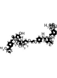 Cc1ncsc1-c1ccc(CNC(=O)[C@@H]2C[C@H](O)CN2C(=O)[C@@H](NC(=O)CCOCCOc2ccc(Nc3ncc(C(F)(F)F)c(NCc4cccc(N(C)S(C)(=O)=O)c4)n3)cc2)C(C)(C)C)cc1